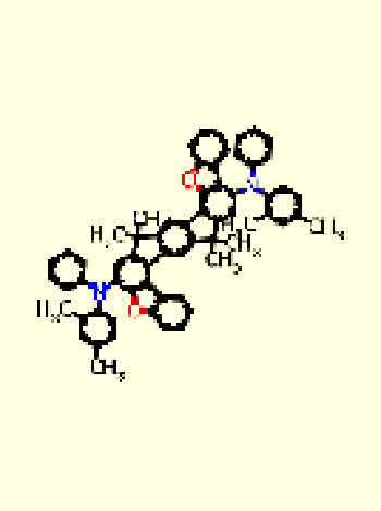 Cc1ccc(N(c2ccccc2)c2cc3c(c4c2oc2ccccc24)-c2cc4c(cc2C3(C)C)-c2c(cc(N(c3ccccc3)c3ccc(C)cc3C)c3c2oc2ccccc23)C4(C)C)c(C)c1